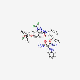 CC[C@@H](CC[C@H](C)OC(=N)/C(=C\Nc1ccccc1)C(N)=O)NC(=O)c1nn(C(F)F)c2cc(OCC(C)(C)OF)ccc12